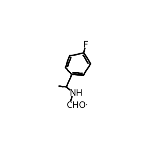 CC(N[C]=O)c1ccc(F)cc1